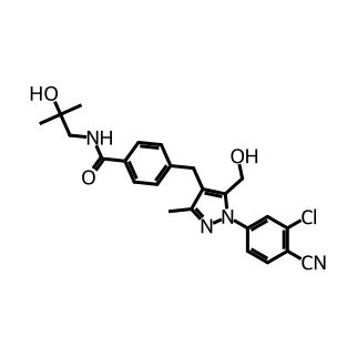 Cc1nn(-c2ccc(C#N)c(Cl)c2)c(CO)c1Cc1ccc(C(=O)NCC(C)(C)O)cc1